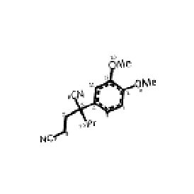 COc1ccc(C(C#N)(CCC#N)C(C)C)cc1OC